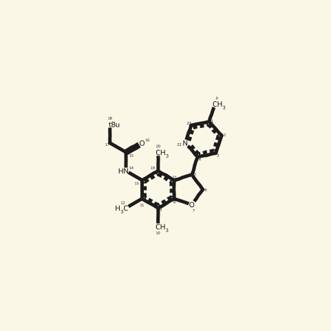 Cc1ccc(C2COc3c(C)c(C)c(NC(=O)CC(C)(C)C)c(C)c32)nc1